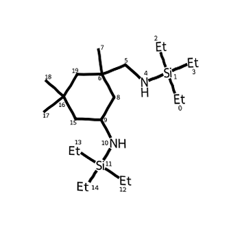 CC[Si](CC)(CC)NCC1(C)CC(N[Si](CC)(CC)CC)CC(C)(C)C1